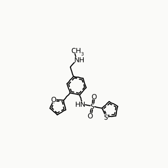 CNCc1ccc(NS(=O)(=O)c2cccs2)c(-c2ccco2)c1